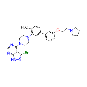 Cc1ccc(-c2cccc(OCCN3CCCC3)c2)cc1N1CCN(c2ncnc3[nH]nc(Br)c23)CC1